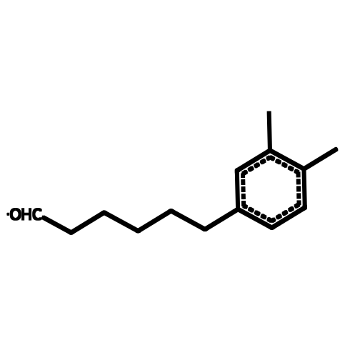 Cc1ccc(CCCCC[C]=O)cc1C